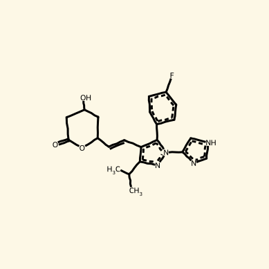 CC(C)c1nn(-c2c[nH]cn2)c(-c2ccc(F)cc2)c1C=CC1CC(O)CC(=O)O1